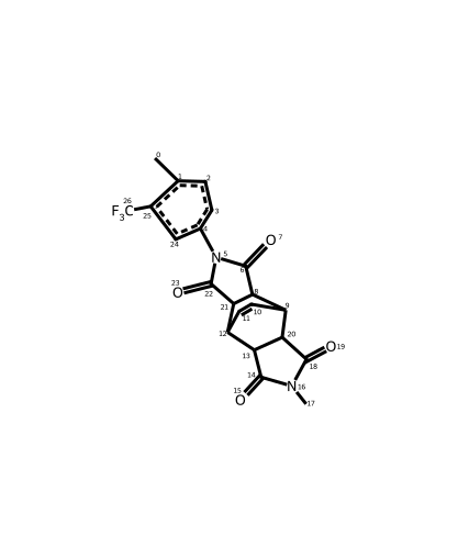 Cc1ccc(N2C(=O)C3C4C=CC(C5C(=O)N(C)C(=O)C45)C3C2=O)cc1C(F)(F)F